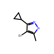 CCC1=C(C)[N]N=C1C1CC1